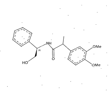 COc1ccc(C(C)C(=O)N[C@@H](CO)c2ccccc2)cc1OC